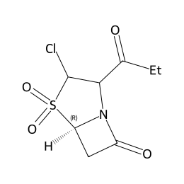 CCC(=O)C1C(Cl)S(=O)(=O)[C@@H]2CC(=O)N12